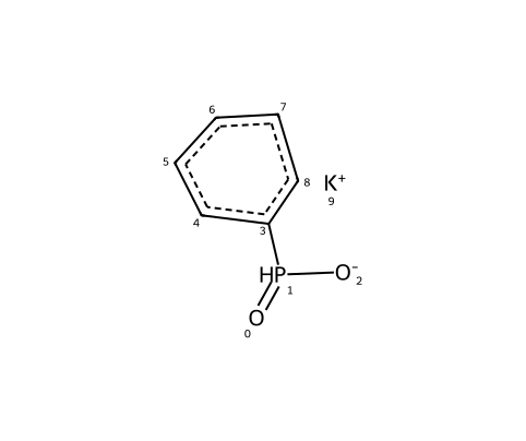 O=[PH]([O-])c1ccccc1.[K+]